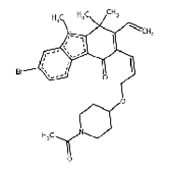 C=CC1=C(/C=C\COC2CCN(C(C)=O)CC2)C(=O)c2c(n(C)c3cc(Br)ccc23)C1(C)C